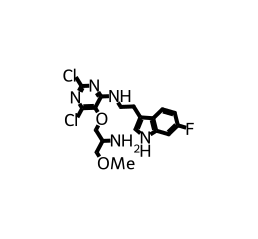 COCC(N)COc1c(Cl)nc(Cl)nc1NCCc1c[nH]c2cc(F)ccc12